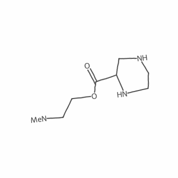 CNCCOC(=O)C1CNCCN1